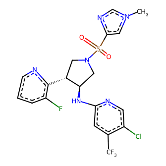 Cn1cnc(S(=O)(=O)N2C[C@@H](Nc3cc(C(F)(F)F)c(Cl)cn3)[C@H](c3ncccc3F)C2)c1